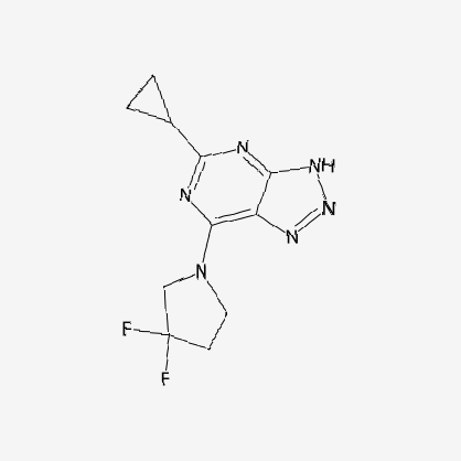 FC1(F)CCN(c2nc(C3CC3)nc3[nH]nnc23)C1